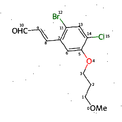 COCCCOc1cc(C=CC=O)c(Br)cc1Cl